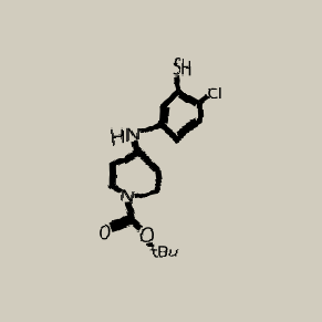 CC(C)(C)OC(=O)N1CCC(Nc2ccc(Cl)c(S)c2)CC1